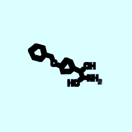 NC(O)C(O)c1ccc(OCc2ccccc2)cc1